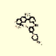 Cc1cnc(Nc2cccc(N3CCN(C)CC3)c2)nc1-c1ccc2c(c1)C(C)(C)CN=C2